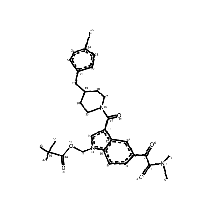 CN(C)C(=O)C(=O)c1ccc2c(c1)c(C(=O)N1CCC(Cc3ccc(F)cc3)CC1)cn2COC(=O)C(C)(C)C